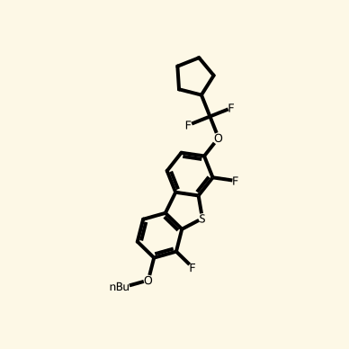 CCCCOc1ccc2c(sc3c(F)c(OC(F)(F)C4CCCC4)ccc32)c1F